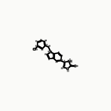 O=c1[nH]c(-c2ccc3c(ccn3Cc3cccc(Cl)c3)c2)no1